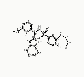 Nc1cccc([C@@H](NS(=O)(=O)c2ccc3c(c2)OCCCO3)c2cc3ccccc3o2)n1